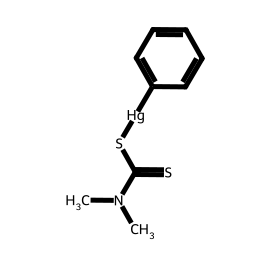 CN(C)C(=S)[S][Hg][c]1ccccc1